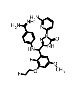 COc1cc(OCCF)c(F)c(C(Nc2ccc(C(=N)N)cc2)c2nn(-c3cccc(N)n3)c(=O)[nH]2)c1